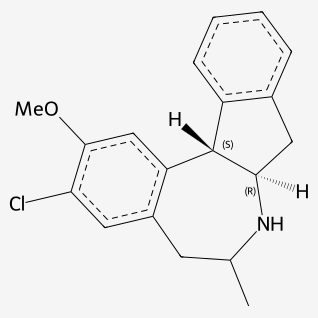 COc1cc2c(cc1Cl)CC(C)N[C@@H]1Cc3ccccc3[C@@H]21